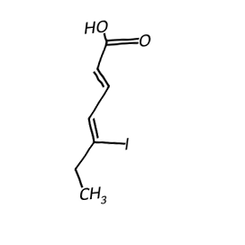 CCC(I)=CC=CC(=O)O